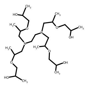 CC(O)COC(C)CN(CCN(CC(C)OCC(C)O)CC(C)OCC(C)O)CC(C)OCC(C)O